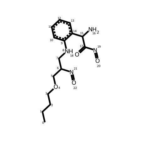 CCCCOCC(CNc1ccccc1C(N)C(=O)N=O)N=O